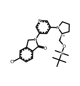 CC(C)(C)[Si](C)(C)OC[C@@H]1CCCN1c1cncc(N2Cc3cc(Cl)ccc3C2=O)c1